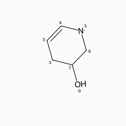 OC1CC=C[N]C1